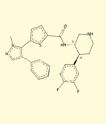 Cn1ncc(-c2ccccc2)c1-c1ccc(C(=O)N[C@@H]2CNCC[C@H]2c2ccc(F)c(F)c2)s1